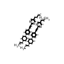 CCCCc1cnc(C#Cc2ccc([C@H]3CC[C@H](CCC)CC3)cc2)nc1.CCCc1cnc(C#Cc2ccc([C@H]3CC[C@H](CCC)CC3)cc2)nc1